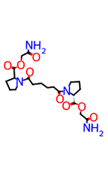 NC(=O)COC(=O)C1CCCN1C(=O)CCCCC(=O)N1CCC[C@@H]1C(=O)OCC(N)=O